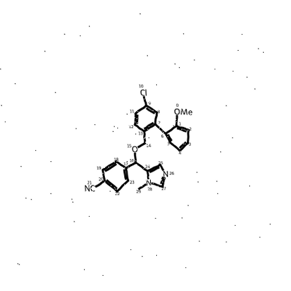 COc1ccccc1-c1cc(Cl)ccc1COC(c1ccc(C#N)cc1)c1cncn1C